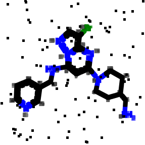 NCC1CCN(c2cc(NCc3cccnc3)n3ncc(Br)c3n2)CC1